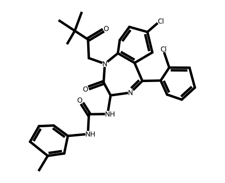 Cc1cccc(NC(=O)NC2N=C(c3ccccc3Cl)c3cc(Cl)ccc3N(CC(=O)C(C)(C)C)C2=O)c1